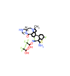 Cc1cc2c(-c3ccc(F)c4sc(N)c(C#N)c34)c(F)cc3c2n1CC[C@@H]1CNCCN1C3=O.O=C(O)C(F)(F)F.O=C(O)C(F)(F)F